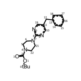 CC(C)(C)OC(=O)N1CCN(c2ncc(Cc3ccccc3)cn2)CC1